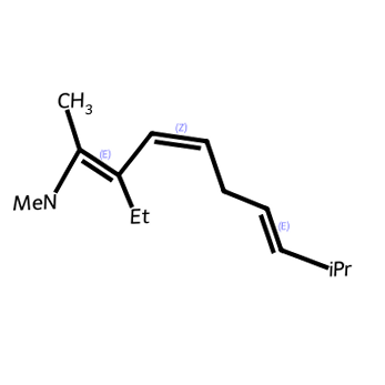 CCC(/C=C\C/C=C/C(C)C)=C(/C)NC